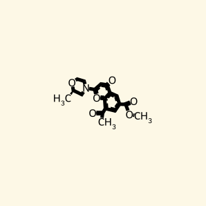 COC(=O)c1cc(C(C)=O)c2oc(N3CCO[C@H](C)C3)cc(=O)c2c1